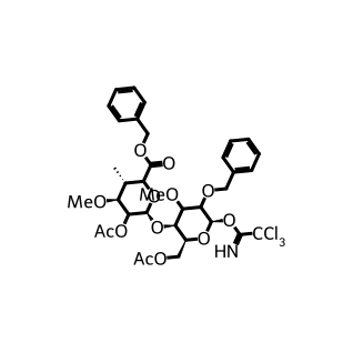 COC1C(OCc2ccccc2)[C@@H](OC(=N)C(Cl)(Cl)Cl)O[C@@H](COC(C)=O)[C@H]1O[C@@H]1OC(C(=O)OCc2ccccc2)[C@@H](C)[C@H](OC)C1OC(C)=O